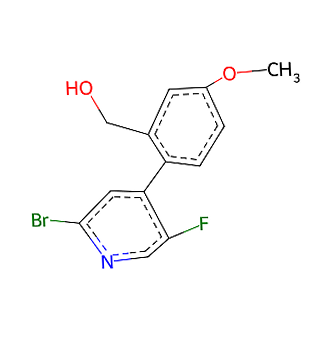 COc1ccc(-c2cc(Br)ncc2F)c(CO)c1